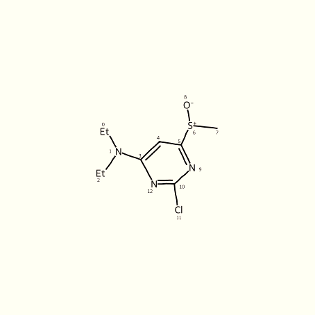 CCN(CC)c1cc([S+](C)[O-])nc(Cl)n1